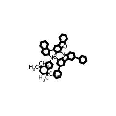 CC1(C)CCC(C)(C)c2cc(N3B4c5c(cc6c(oc7ccccc76)c5-n5c6ccc(-c7ccccc7)cc6c6cc(-c7ccccc7)cc4c65)-c4c3ccc3ccccc43)ccc21